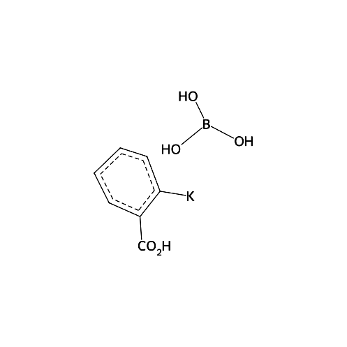 O=C(O)c1cccc[c]1[K].OB(O)O